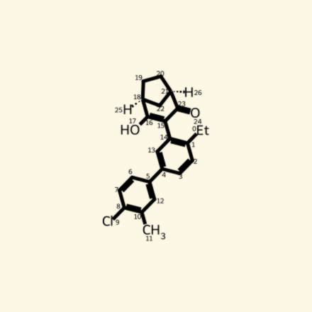 CCc1ccc(-c2ccc(Cl)c(C)c2)cc1C1=C(O)[C@H]2CC[C@H](C2)C1=O